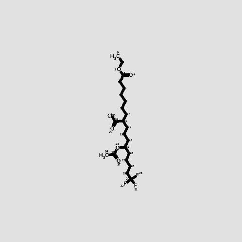 CCOC(=O)CCCCCCC(CCCC(CCCCC(F)(F)F)OC(C)=O)C(=O)Cl